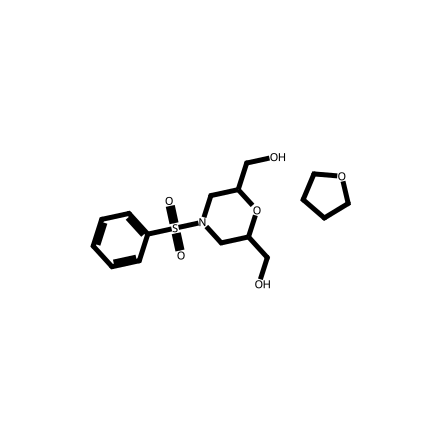 C1CCOC1.O=S(=O)(c1ccccc1)N1CC(CO)OC(CO)C1